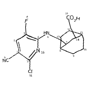 N#Cc1cc(F)c(NC2C3CCC(CC3)C2C(=O)O)nc1Cl